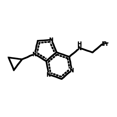 CC(C)CNc1ncnc2c1ncn2C1CC1